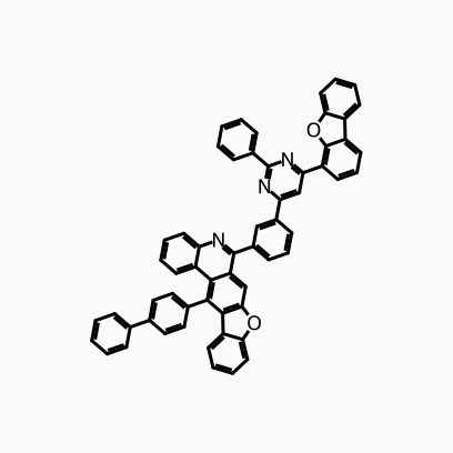 c1ccc(-c2ccc(-c3c4c(cc5c(-c6cccc(-c7cc(-c8cccc9c8oc8ccccc89)nc(-c8ccccc8)n7)c6)nc6ccccc6c35)oc3ccccc34)cc2)cc1